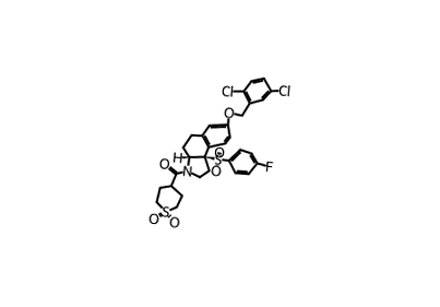 O=C(C1CCS(=O)(=O)CC1)N1CC[C@@]2(S(=O)(=O)c3ccc(F)cc3)c3ccc(OCc4cc(Cl)ccc4Cl)cc3CC[C@@H]12